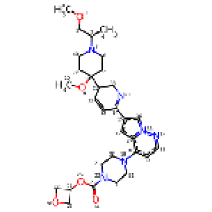 COC[C@@H](C)N1CCC(OC)(C2C=CC(c3cc4c(N5CCN(C(=O)OC6COC6)CC5)ccnn4c3)=NC2)CC1